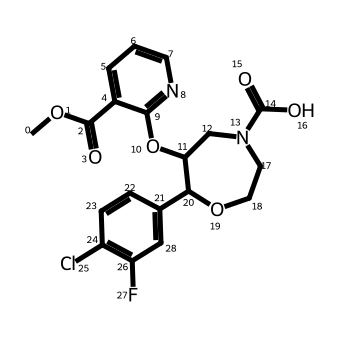 COC(=O)c1cccnc1OC1CN(C(=O)O)CCOC1c1ccc(Cl)c(F)c1